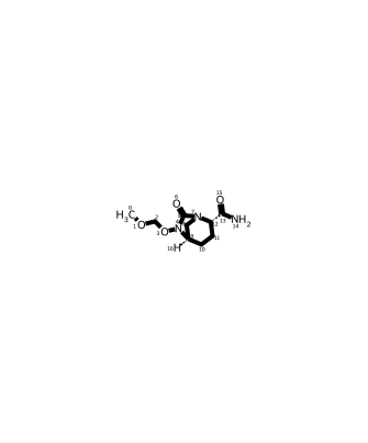 COCON1C(=O)N2C[C@H]1CC[C@H]2C(N)=O